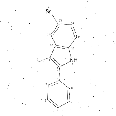 Cc1c(-c2ccccc2)[nH]c2ccc(Br)cc12